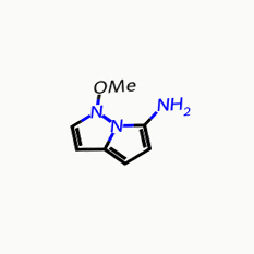 COn1ccc2ccc(N)n21